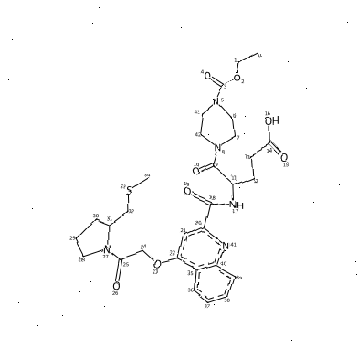 CCOC(=O)N1CCN(C(=O)C(CCC(=O)O)NC(=O)c2cc(OCC(=O)N3CCCC3CSC)c3ccccc3n2)CC1